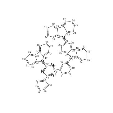 c1ccc(-c2nc(-c3cccc(-n4c5ccccc5c5cc(-n6c7ccccc7c7ccccc76)ccc54)c3)nc(-n3c4ccccc4c4ccccc43)n2)cc1